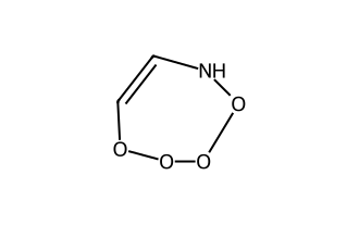 C1=COOOON1